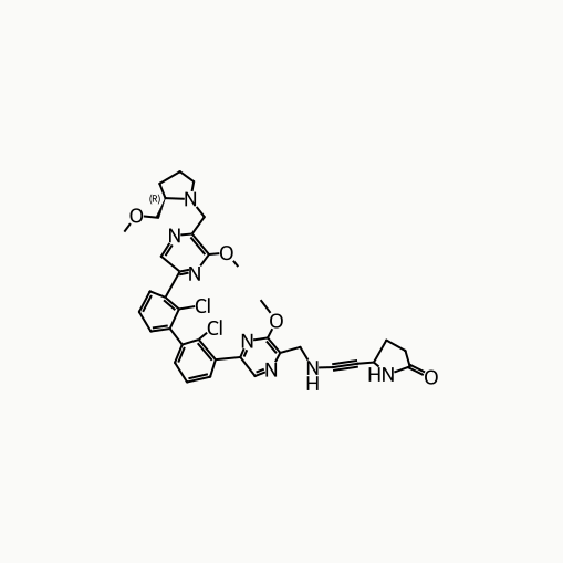 COC[C@H]1CCCN1Cc1ncc(-c2cccc(-c3cccc(-c4cnc(CNC#CC5CCC(=O)N5)c(OC)n4)c3Cl)c2Cl)nc1OC